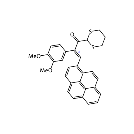 COc1ccc(/C(=C\c2ccc3ccc4cccc5ccc2c3c45)C(=O)C2SCCCS2)cc1OC